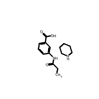 C1CCNCC1.CCC(=O)Nc1cccc(C(=O)O)c1